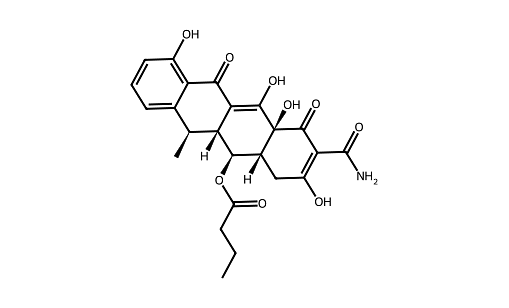 CCCC(=O)O[C@H]1[C@H]2C(=C(O)[C@]3(O)C(=O)C(C(N)=O)=C(O)C[C@H]13)C(=O)c1c(O)cccc1[C@@H]2C